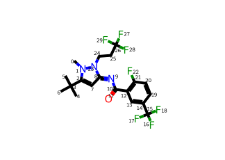 Cn1c(C(C)(C)C)c/c(=N\C(=O)c2cc(C(F)(F)F)ccc2F)n1CCC(F)(F)F